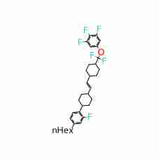 CCCCCCc1ccc(C2CCC(/C=C/C3CCC(C(F)(F)Oc4cc(F)c(F)c(F)c4)CC3)CC2)c(F)c1